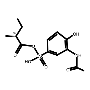 CC[C@H](C)C(=O)O[As](=O)(O)c1ccc(O)c(NC(C)=O)c1